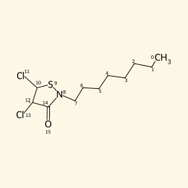 CCCCCCCCN1SC(Cl)[C](Cl)C1=O